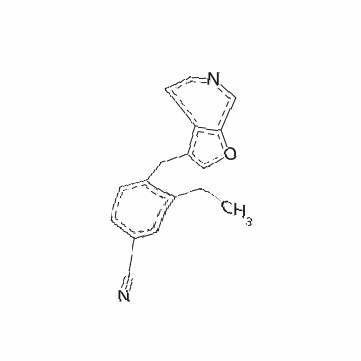 CCc1cc(C#N)ccc1Cc1coc2cnccc12